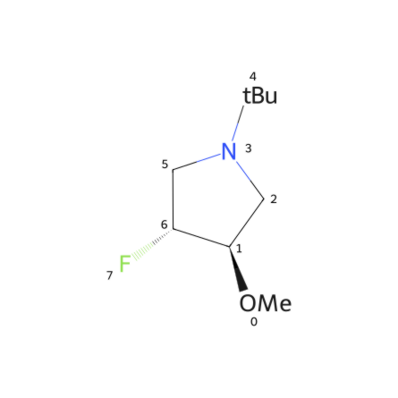 CO[C@@H]1CN(C(C)(C)C)C[C@H]1F